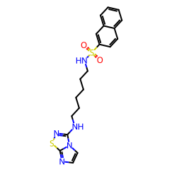 O=S(=O)(NCCCCCCNc1nsc2nccn12)c1ccc2ccccc2c1